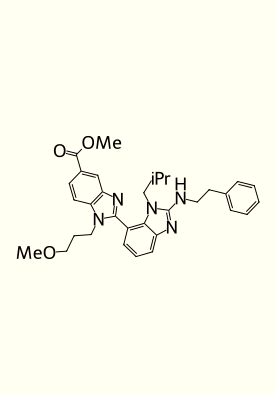 COCCCn1c(-c2cccc3nc(NCCc4ccccc4)n(CC(C)C)c23)nc2cc(C(=O)OC)ccc21